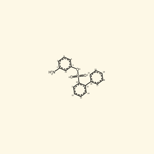 Nc1cccc(OS(=O)(=O)c2ccccc2-c2ccccc2)c1